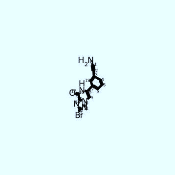 NC#Cc1cccc(-c2cn3nc(Br)nc3c(=O)[nH]2)c1